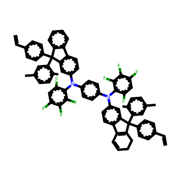 C=Cc1ccc(C2(c3cc(C)ccc3C)C3=C(C=CCC3)c3ccc(N(c4ccc(N(c5ccc6c(c5)C(c5ccc(C=C)cc5)(c5cc(C)ccc5C)c5ccccc5-6)c5c(F)cc(F)c(F)c5F)cc4)c4c(F)cc(F)c(F)c4F)cc32)cc1